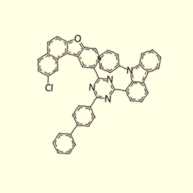 Clc1ccc2ccc3oc4ccc(-c5nc(-c6ccc(-c7ccccc7)cc6)nc(-c6cccc7c8ccccc8n(-c8ccccc8)c67)n5)cc4c3c2c1